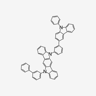 c1ccc(-c2cccc(-n3c4ccccc4c4cc5c(cc43)c3ccccc3n5-c3cccc(-c4ccc5c(c4)c4ccccc4n5-c4ccccc4)c3)c2)cc1